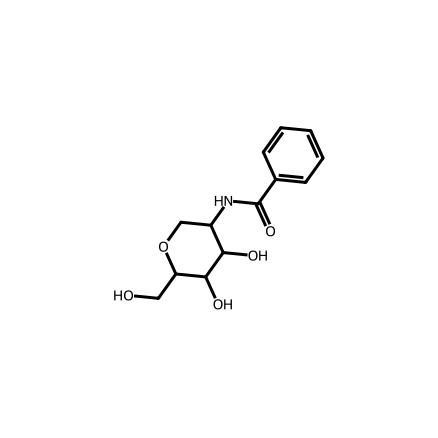 O=C(NC1COC(CO)C(O)C1O)c1ccccc1